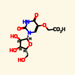 O=C(O)COc1cn([C@@H]2O[C@H](CO)[C@@H](O)[C@H]2O)c(=O)[nH]c1=O